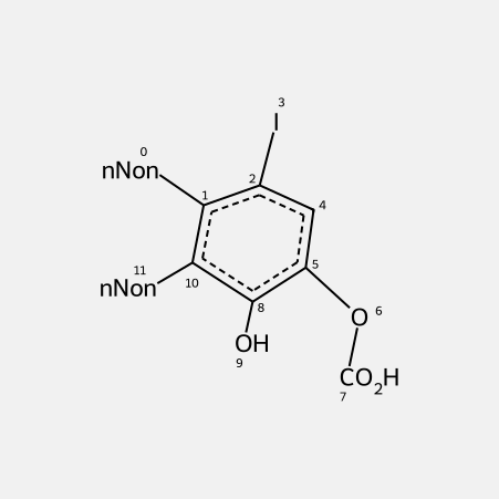 CCCCCCCCCc1c(I)cc(OC(=O)O)c(O)c1CCCCCCCCC